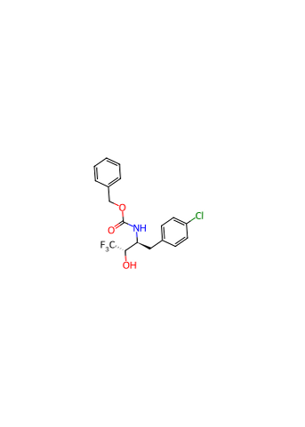 O=C(N[C@@H](Cc1ccc(Cl)cc1)[C@H](O)C(F)(F)F)OCc1ccccc1